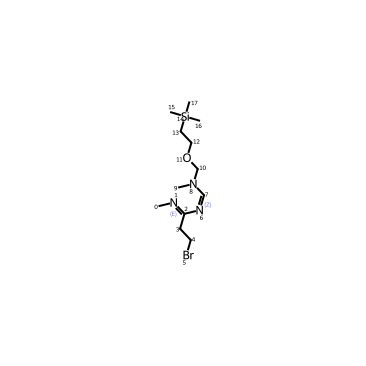 C/N=C(CCBr)/N=C\N(C)COCC[Si](C)(C)C